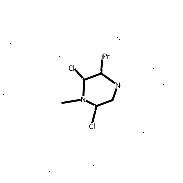 CC(C)C1[N]CC(Cl)N(C)C1Cl